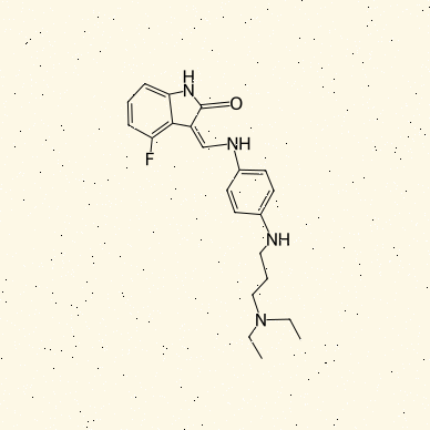 CCN(CC)CCCNc1ccc(N/C=C2\C(=O)Nc3cccc(F)c32)cc1